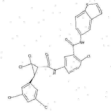 O=C(Nc1ccc2sccc2c1)c1cc(NC(=O)[C@@H]2[C@@H](c3cc(Cl)cc(Cl)c3)C2(Cl)Cl)ccc1Cl